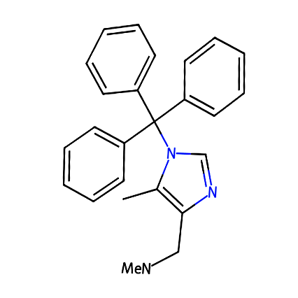 CNCc1ncn(C(c2ccccc2)(c2ccccc2)c2ccccc2)c1C